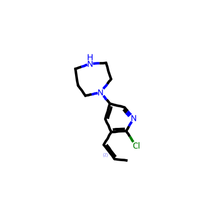 C/C=C\c1cc(N2CCCNCC2)cnc1Cl